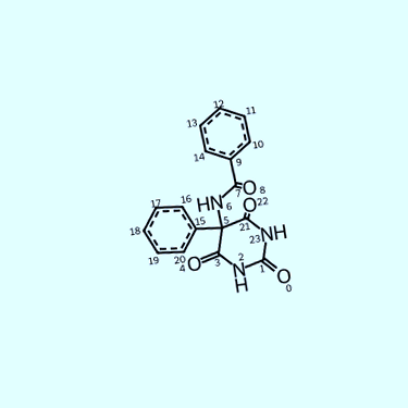 O=C1NC(=O)C(NC(=O)c2ccccc2)(c2ccccc2)C(=O)N1